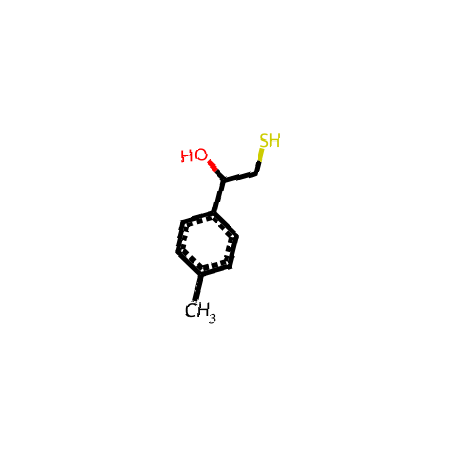 Cc1ccc(C(O)CS)cc1